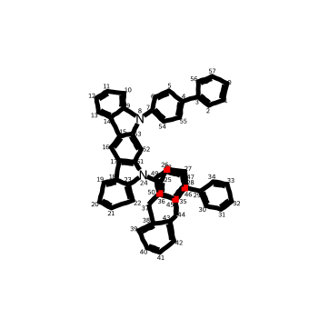 c1ccc(-c2ccc(-n3c4ccccc4c4cc5c6ccccc6n(-c6ccc(-c7ccccc7)c7c6C6c8ccccc8C7c7ccccc76)c5cc43)cc2)cc1